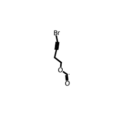 O=[C]OCCC#CBr